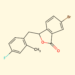 Cc1cc(F)ccc1CC1OC(=O)c2cc(Br)ccc21